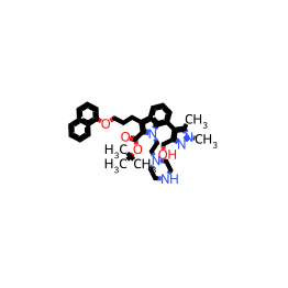 Cc1c(-c2cccc3c(CCCOc4cccc5ccccc45)c(C(=O)OC(C)(C)C)n(CCN4CCNCC4)c23)c(CO)nn1C